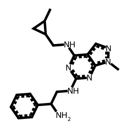 CC1CC1CNc1nc(NCC(N)c2ccccc2)nc2c1cnn2C